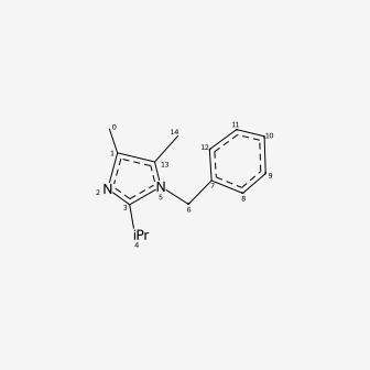 Cc1nc(C(C)C)n(Cc2ccccc2)c1C